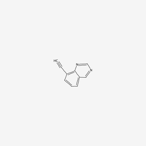 C#Cc1cccc2cncnc12